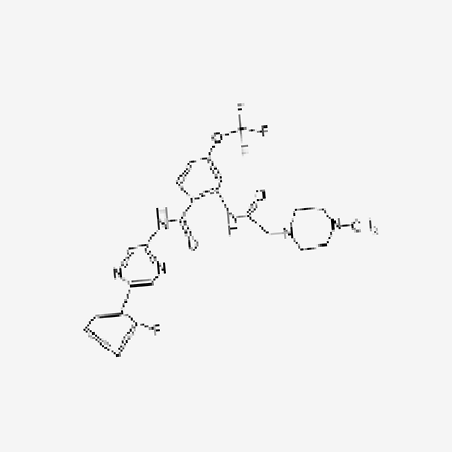 CN1CCN(CC(=O)Nc2cc(OC(F)(F)F)ccc2C(=O)Nc2cnc(-c3ccccc3F)cn2)CC1